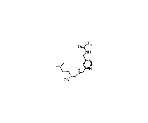 CN(C)CCN(CNCc1cc(CNC(=O)C(F)(F)F)ccn1)N=O